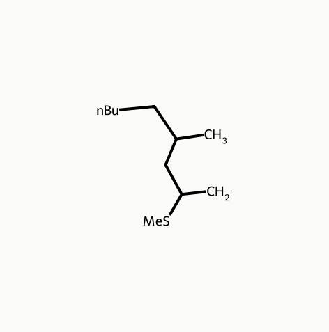 [CH2]C(CC(C)CCCCC)SC